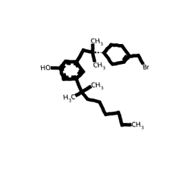 CCCCCCC(C)(C)c1cc(O)cc(CC(C)(C)[C@H]2CC=C(CBr)CC2)c1